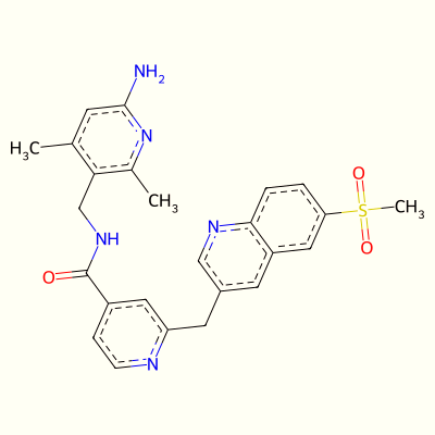 Cc1cc(N)nc(C)c1CNC(=O)c1ccnc(Cc2cnc3ccc(S(C)(=O)=O)cc3c2)c1